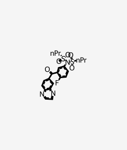 CCCS(=O)(=O)N(c1ccc(F)c(C(=O)c2ccc3nccnc3c2)c1)S(=O)(=O)CCC